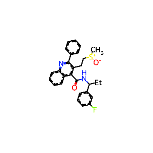 CCC(NC(=O)c1c(CC[S+](C)[O-])c(-c2ccccc2)nc2ccccc12)c1cccc(F)c1